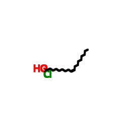 CCCCCCCC/C=C\CCCCCCCC(O)Cl